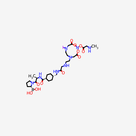 CNCC(=O)ON1OC(=O)CN(I)CCN(CCNCC(=O)NC[C@H]2CC[C@H](C(=O)N[C@H](C)C(=O)N3CCC[C@H]3B(O)O)CC2)CC(=O)O1